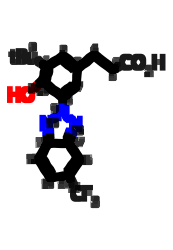 CC(C)(C)c1cc(CCC(=O)O)cc(-n2nc3ccc(C(F)(F)F)cc3n2)c1O